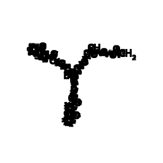 C=CC(=O)OCCOCCOC(C)OCCOCCOCC(CC)(COCCOCCOC(=O)c1ccc2sc3ccccc3c(=O)c2c1)COCCOCCOC(=O)c1ccc2sc3ccccc3c(=O)c2c1